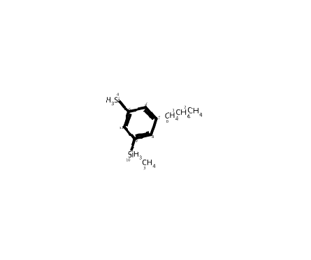 C.C.C.C.[SiH3]c1cccc([SiH3])c1